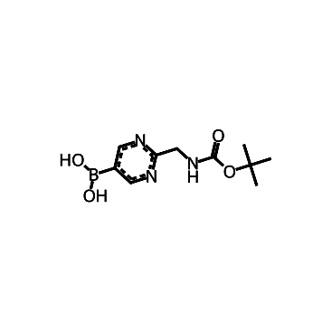 CC(C)(C)OC(=O)NCc1ncc(B(O)O)cn1